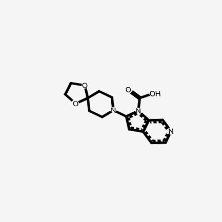 O=C(O)n1c(N2CCC3(CC2)OCCO3)cc2ccncc21